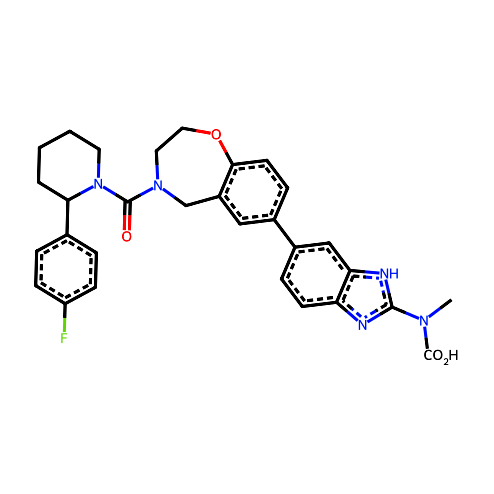 CN(C(=O)O)c1nc2ccc(-c3ccc4c(c3)CN(C(=O)N3CCCCC3c3ccc(F)cc3)CCO4)cc2[nH]1